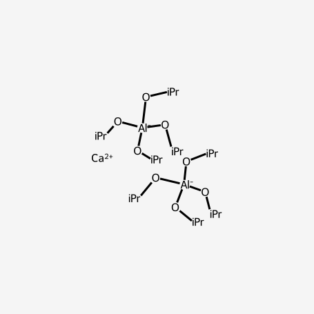 CC(C)[O][Al-]([O]C(C)C)([O]C(C)C)[O]C(C)C.CC(C)[O][Al-]([O]C(C)C)([O]C(C)C)[O]C(C)C.[Ca+2]